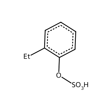 CCc1ccccc1OS(=O)(=O)O